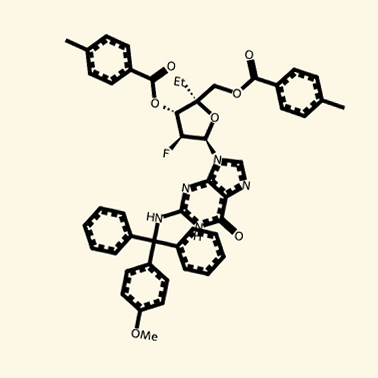 CC[C@]1(COC(=O)c2ccc(C)cc2)O[C@@H](n2cnc3c(=O)[nH]c(NC(c4ccccc4)(c4ccccc4)c4ccc(OC)cc4)nc32)[C@@H](F)[C@@H]1OC(=O)c1ccc(C)cc1